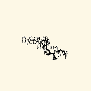 CC(C)(C)OC(=O)N[C@@H](CC(C)(C)C(F)(F)F)c1cn2ncc(C(NC(=O)CC3CC(F)(F)C3)C3CC3)cc2n1